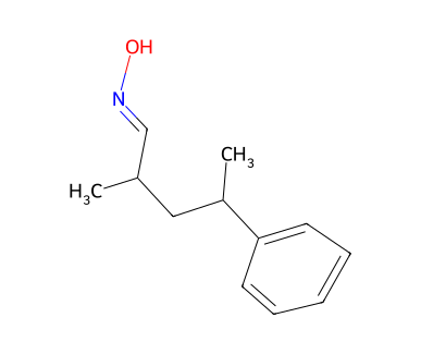 CC(C=NO)CC(C)c1ccccc1